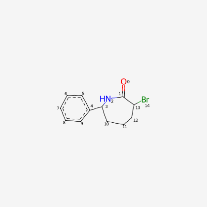 O=C1NC(c2ccccc2)CCCC1Br